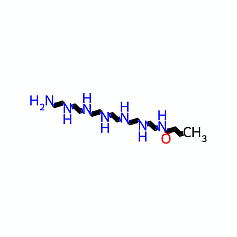 CCCC(=O)NCCNCCNCCNCCNCCNCCN